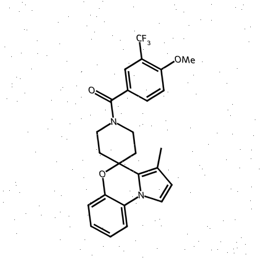 COc1ccc(C(=O)N2CCC3(CC2)Oc2ccccc2-n2ccc(C)c23)cc1C(F)(F)F